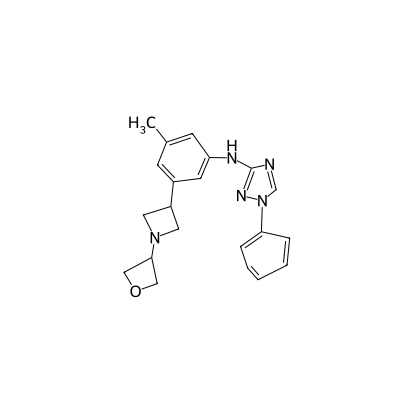 Cc1cc(Nc2ncn(-c3ccccc3)n2)cc(C2CN(C3COC3)C2)c1